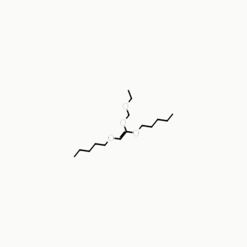 CCCCCOC=C(OCCCCC)OCOCC